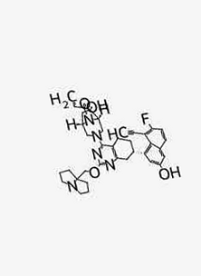 C#Cc1c(F)ccc2cc(O)cc([C@H]3CCc4c(nc(OCC56CCCN5CCC6)nc4N4C[C@@H]5C[C@@H](O)[C@H](C4)N5C(=O)C=C)C3)c12